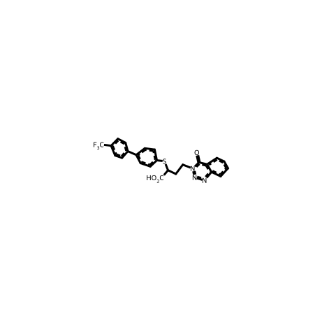 O=C(O)C(CCn1nnc2ccccc2c1=O)Sc1ccc(-c2ccc(C(F)(F)F)cc2)cc1